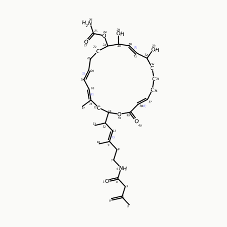 C=C(C)CC(=O)NCC/C(C)=C/C(C)C1C/C(C)=C/C=C/CCC(OC(N)=O)C(O)/C=C/C(O)CCC/C=C/C(=O)O1